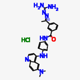 C/C(=N\N=C(N)N)c1cccc(C(=O)Nc2ccc(Nc3ccnc4ccc(N(C)C)cc34)cc2)c1.Cl